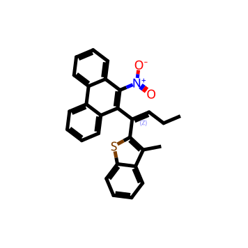 CC/C=C(\c1sc2ccccc2c1C)c1c([N+](=O)[O-])c2ccccc2c2ccccc12